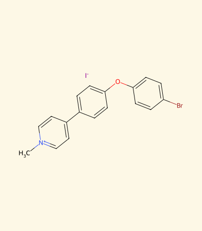 C[n+]1ccc(-c2ccc(Oc3ccc(Br)cc3)cc2)cc1.[I-]